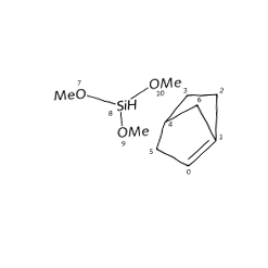 C1=C2CCC(C1)C2.CO[SiH](OC)OC